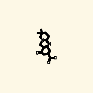 CC1(C)CCC2=NC3=C(CN2C1)C(=O)CC(C(=O)Cl)=C3